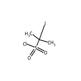 CC(C)(I)S(=O)(=O)Cl